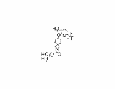 Cc1ccc(C(F)(F)F)nc1OC1CCC2(CC1)CN(C(=O)[C@H]1C[C@@](C)(O)C1)C2